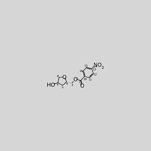 O=C(OC[C@@H]1CC(O)CO1)c1ccc([N+](=O)[O-])cc1